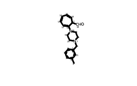 Cc1cccc(CN2CCN(C3=CC=CC=CC3C=O)CC2)c1